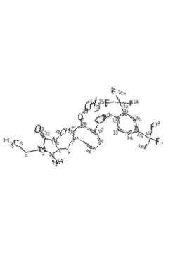 CCN1C(=N)C(=Cc2ccc(Oc3ccc(C(F)(F)F)cc3C(F)(F)F)c(OC)c2)N(C)C1=O